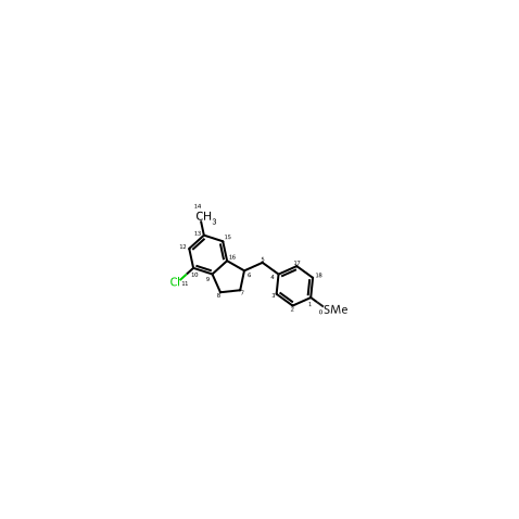 CSc1ccc(CC2CCc3c(Cl)cc(C)cc32)cc1